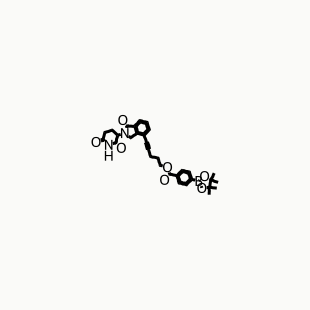 CC1(C)OB(c2ccc(C(=O)OCCCC#Cc3cccc4c3CN(C3CCC(=O)NC3=O)C4=O)cc2)OC1(C)C